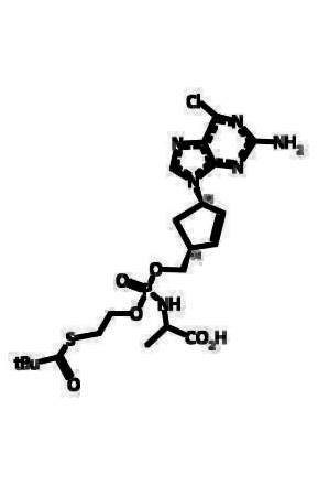 CC(NP(=O)(OCCSC(=O)C(C)(C)C)OC[C@@H]1C=C[C@H](n2cnc3c(Cl)nc(N)nc32)C1)C(=O)O